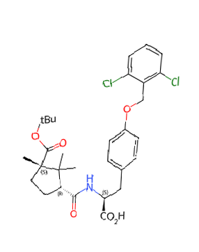 CC(C)(C)OC(=O)[C@@]1(C)CC[C@@H](C(=O)N[C@@H](Cc2ccc(OCc3c(Cl)cccc3Cl)cc2)C(=O)O)C1(C)C